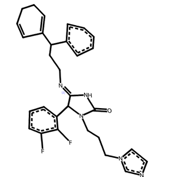 O=C1N/C(=N\CCC(C2=CCCC=C2)c2ccccc2)C(c2cccc(F)c2F)N1CCCn1ccnc1